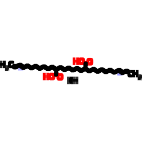 C=C/C=C/CCCCCCCC(CCCCCCC(CCCCCCC/C=C/C=C)C(=O)O)C(=O)O.[KH]